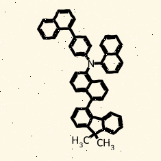 CC1(C)c2ccccc2-c2c(-c3cccc4c(N(c5ccc(-c6cccc7ccccc67)cc5)c5cccc6ccccc56)cccc34)cccc21